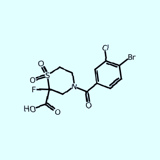 O=C(c1ccc(Br)c(Cl)c1)N1CCS(=O)(=O)C(F)(C(=O)O)C1